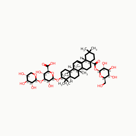 CC1(C)CC[C@]2(C(=O)O[C@@H]3O[C@H](CO)[C@@H](O)[C@H](O)[C@H]3O)CC[C@]3(C)C(=CC[C@@H]4[C@@]5(C)CC[C@H](O[C@@H]6O[C@H](C(=O)O)[C@@H](O)[C@H](O[C@@H]7OC[C@@H](O)[C@H](O)[C@H]7O)[C@H]6O)C(C)(C)[C@@H]5CC[C@]43C)[C@@H]2C1